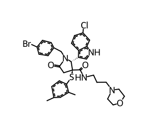 Cc1ccc(S[C@@]2(C(=O)NCCCN3CCOCC3)CC(=O)N(Cc3ccc(Br)cc3)[C@@H]2c2c[nH]c3cc(Cl)ccc23)c(C)c1